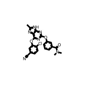 Cc1nc2c(Oc3cc(C#N)ccc3Cl)nc(Oc3cccc(C(=O)N(C)C)c3)nc2[nH]1